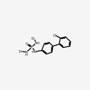 CCNP(=O)(NCC)Nc1ccc(-c2ccccc2Cl)cc1